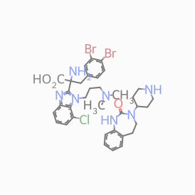 CN(C)CCCn1c(C(N)(Cc2ccc(Br)c(Br)c2)C(=O)O)nc2cccc(Cl)c21.O=C1Nc2ccccc2CCN1C1CCNCC1